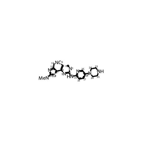 C=N/C(=N\C(=C\C#N)c1sc(NC)nc1C)Nc1ccc(N2CCNCC2)cn1